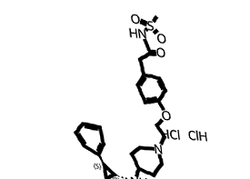 CS(=O)(=O)NC(=O)Cc1ccc(OCCN2CCC(N[C@@H]3C[C@H]3c3ccccc3)CC2)cc1.Cl.Cl